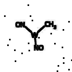 [CH3][W]([N]=O)[N]=O